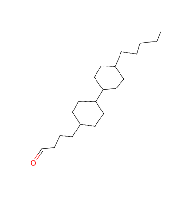 CCCCCC1CCC(C2CCC(CCCC=O)CC2)CC1